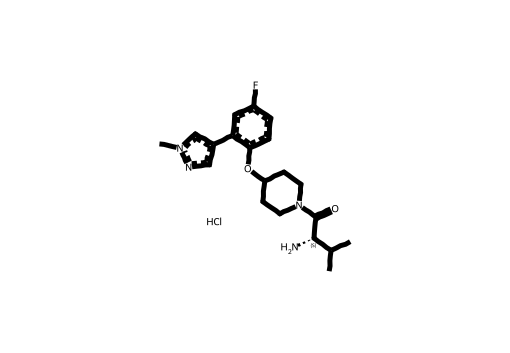 CC(C)[C@H](N)C(=O)N1CCC(Oc2ccc(F)cc2-c2cnn(C)c2)CC1.Cl